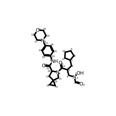 O=CN(O)CC(CC1CCCC1)C(=O)N1CC2(CC2)CC1C(=O)Nc1ccc(N2CCOCC2)cc1